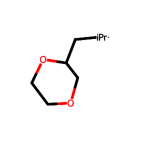 C[C](C)CC1COCCO1